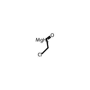 O=CCCl.[MgH2]